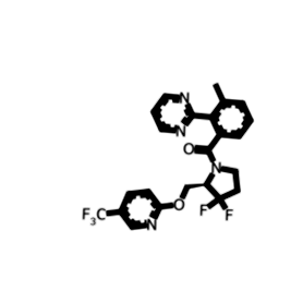 Cc1cccc(C(=O)N2CCC(F)(F)[C@H]2COc2ccc(C(F)(F)F)cn2)c1-c1ncccn1